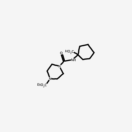 CCOC(=O)N1CCN(C(=O)NC2(C(=O)O)CCCCC2)CC1